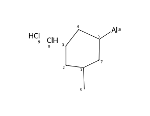 CC1CCC[CH]([Al])C1.Cl.Cl